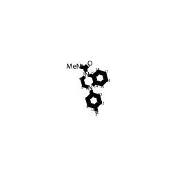 CNC(=O)N1CCN(c2ccc(F)cc2)c2ccccc21